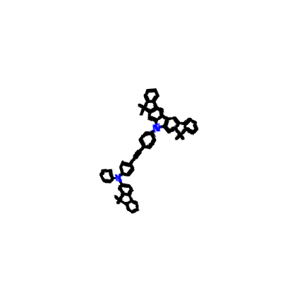 CC1(C)c2ccccc2-c2ccc(N(c3ccccc3)c3ccc(C#Cc4ccc(-n5c6cc7c(cc6c6cc8c(cc65)C(C)(C)c5ccccc5-8)-c5ccccc5C7(C)C)cc4)cc3)cc21